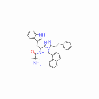 CC(C)(N)C(=O)NC(Cc1c[nH]c2ccccc12)c1nnc(CCc2ccccc2)n1Cc1cccc2ccccc12